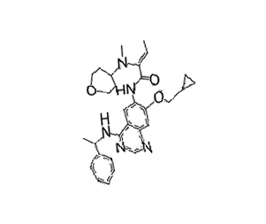 CC=C(C(=O)Nc1cc2c(NC(C)c3ccccc3)ncnc2cc1OCC1CC1)N(C)C1CCOCC1